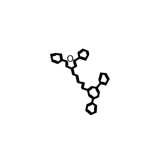 C(/C=C/C=C/C1=CC(c2ccccc2)=CCC(c2ccccc2)=C1)=C1C=C(c2ccccc2)OC(c2ccccc2)=C1